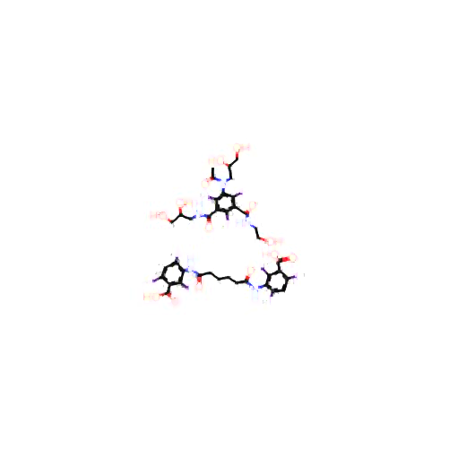 CC(=O)N(CC(O)CO)c1c(I)c(C(=O)NCCO)c(I)c(C(=O)NCC(O)CO)c1I.O=C(CCCCC(=O)Nc1c(I)cc(I)c(C(=O)O)c1I)Nc1c(I)cc(I)c(C(=O)O)c1I